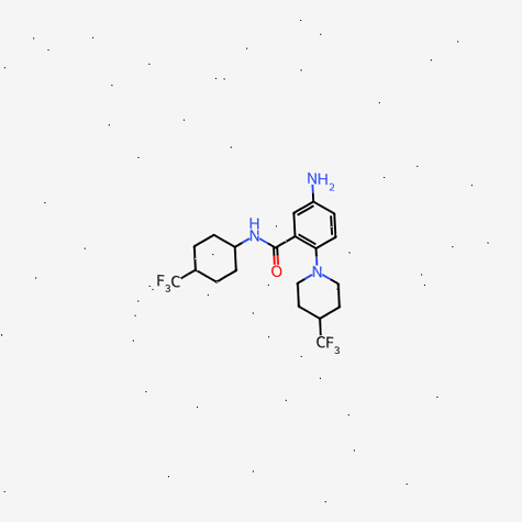 Nc1ccc(N2CCC(C(F)(F)F)CC2)c(C(=O)NC2CCC(C(F)(F)F)CC2)c1